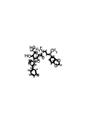 CN(CCN(C)c1ccc2c(c1)OCO2)C(=O)[C@@H]1O[C@H](CO)[C@H](O)[C@H](n2cc(-c3cccc(F)c3)nn2)[C@H]1O